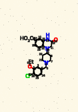 CCOc1cc(CN2CCC(N3CC(=O)Nc4cc(C(=O)O)ccc43)CC2)ccc1Cl